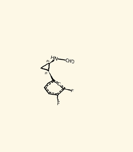 O=CN[C@@H]1C[C@@H]1c1ccc(F)c(F)c1